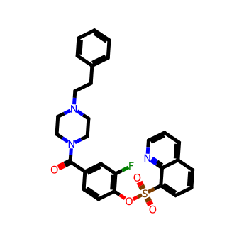 O=C(c1ccc(OS(=O)(=O)c2cccc3cccnc23)c(F)c1)N1CCN(CCc2ccccc2)CC1